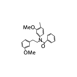 COc1cccc(CCN(C(=O)c2ccccc2)c2ccc(C)c(OC)c2)c1